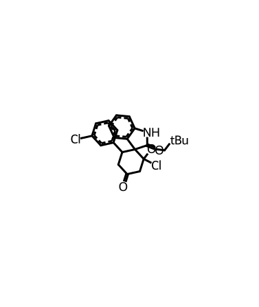 CC(C)(C)COC1(Cl)CC(=O)CC(c2cccc(Cl)c2)C12C(=O)Nc1ccccc12